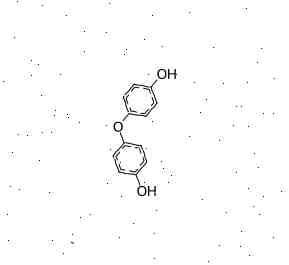 Oc1ccc(Oc2ccc(O)cc2)cc1